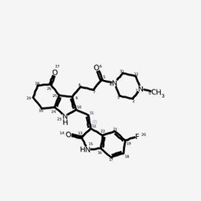 CN1CCN(C(=O)CCc2c(/C=C3\C(=O)Nc4ccc(F)cc43)[nH]c3c2C(=O)CCC3)CC1